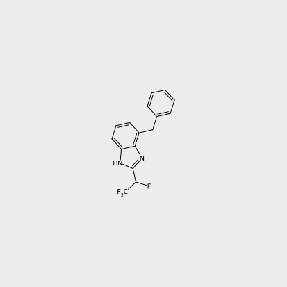 FC(c1nc2c(Cc3ccccc3)cccc2[nH]1)C(F)(F)F